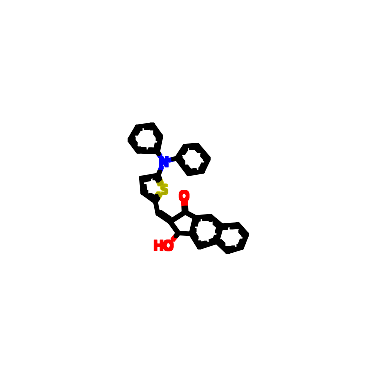 O=C1/C(=C\c2ccc(N(c3ccccc3)c3ccccc3)s2)C(O)c2cc3ccccc3cc21